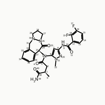 C[C@H](CC(=O)N(c1cc(NC(=O)c2cccc(F)c2F)nn1C)[C@@H]1C(=O)N2CCCN2Cc2ccccc21)C(N)=O